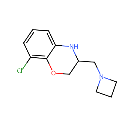 Clc1cccc2c1OCC(CN1CCC1)N2